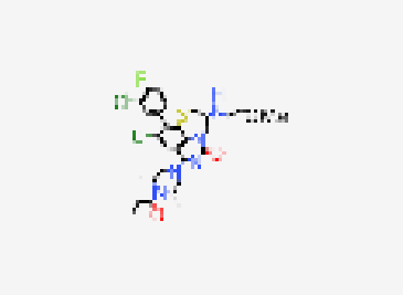 C=CC(=O)N1[C@H](C)CN(c2nc(=O)n3c4c(c(-c5ccc(F)c(Cl)c5)c(Cl)cc24)SCC(NCCOC)C3)C[C@@H]1C